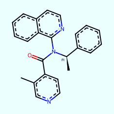 Cc1cnccc1C(=O)N(c1nccc2ccccc12)[C@H](C)c1ccccc1